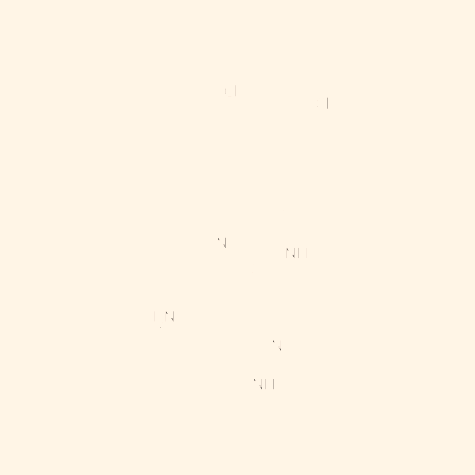 Nc1c[nH]nc1-c1nc2cc(Cl)c(Cl)cc2[nH]1